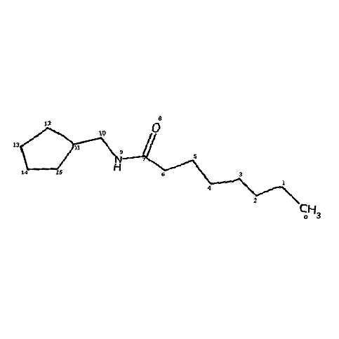 CCCCCCCC(=O)NCC1CCCC1